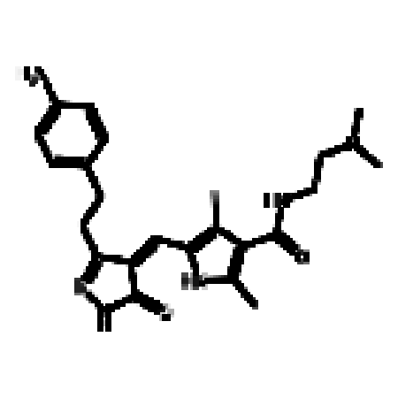 Cc1[nH]c(C=C2C(=O)NN=C2CCc2ccc(N)cc2)c(C)c1C(=O)NCCN(C)C